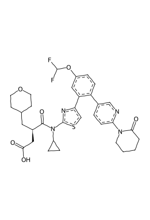 O=C(O)C[C@@H](CC1CCOCC1)C(=O)N(c1nc(-c2cc(OC(F)F)ccc2-c2ccc(N3CCCCC3=O)nc2)cs1)C1CC1